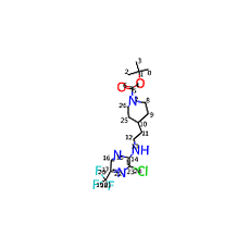 CC(C)(C)OC(=O)N1CCC(CCNc2ncc(C(F)(F)F)nc2Cl)CC1